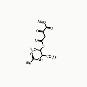 CCOC(=O)C(NC(=O)C(C)CC)C(C)SC(=O)CC(=O)C(=O)OC